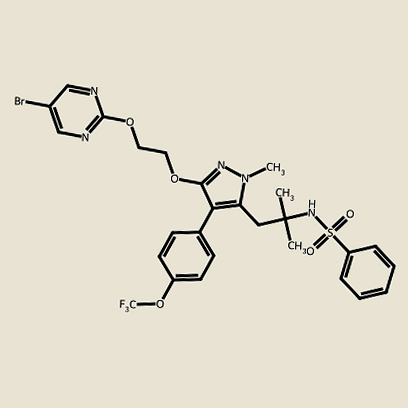 Cn1nc(OCCOc2ncc(Br)cn2)c(-c2ccc(OC(F)(F)F)cc2)c1CC(C)(C)NS(=O)(=O)c1ccccc1